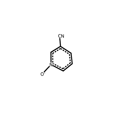 N#Cc1ccc[n+]([O-])c1